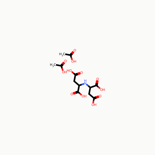 CC(=O)O.CC(=O)O.O=C(O)CC(NC(CC(=O)O)C(=O)O)C(=O)O